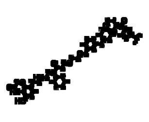 CC(C)c1nc(C(=O)N2CCOC3(CCN(Cc4cccc(COCCOCCC(=O)N(CCNCCc5ccc(O)c6c5OCC(=O)N6)C5CCCCC5)c4)CC3)C2)cs1